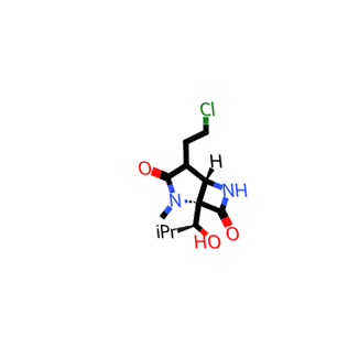 CC(C)[C@H](O)[C@]12C(=O)N[C@H]1C(CCCl)C(=O)N2C